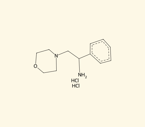 Cl.Cl.NC(CN1CCOCC1)c1ccccc1